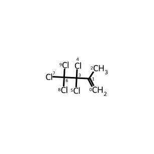 C=C(C)C(Cl)(Cl)C(Cl)(Cl)Cl